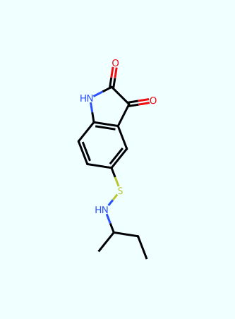 CCC(C)NSc1ccc2c(c1)C(=O)C(=O)N2